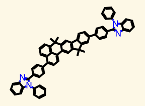 CC1(C)c2cc(-c3ccc(-c4nc5ccccc5n4-c4ccccc4)cc3)ccc2-c2cc3c(cc21)-c1ccc(-c2ccc(-c4nc5ccccc5n4-c4ccccc4)cc2)c2cccc(c12)C3(C)C